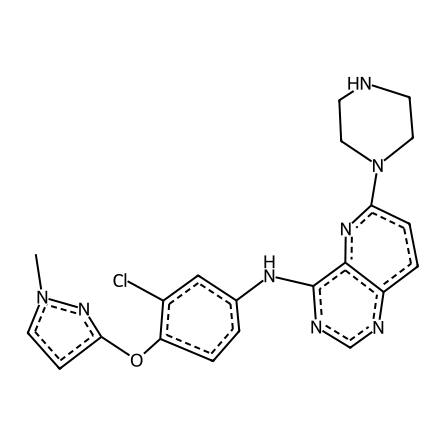 Cn1ccc(Oc2ccc(Nc3ncnc4ccc(N5CCNCC5)nc34)cc2Cl)n1